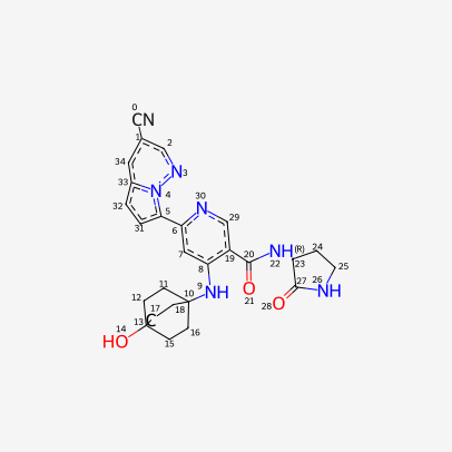 N#Cc1cnn2c(-c3cc(NC45CCC(O)(CC4)CC5)c(C(=O)N[C@@H]4CCNC4=O)cn3)ccc2c1